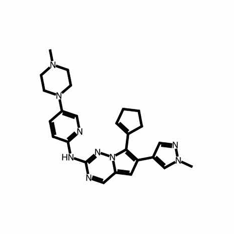 CN1CCN(c2ccc(Nc3ncc4cc(-c5cnn(C)c5)c(C5=CCCC5)n4n3)nc2)CC1